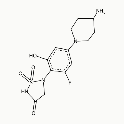 NC1CCN(c2cc(O)c(N3CC(=O)NS3(=O)=O)c(F)c2)CC1